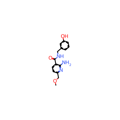 COCc1ccc(C(=O)NCc2cccc(O)c2)c(N)n1